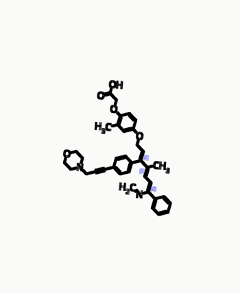 C=N\C(=C/C=C(C)/C(=C/COc1ccc(OCC(=O)O)c(C)c1)c1ccc(C#CCN2CCOCC2)cc1)c1ccccc1